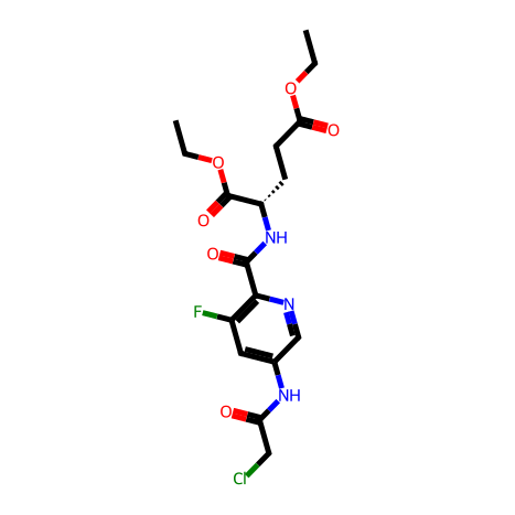 CCOC(=O)CC[C@H](NC(=O)c1ncc(NC(=O)CCl)cc1F)C(=O)OCC